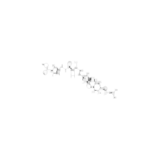 COC(=O)c1cnn(CCC(=O)N[C@@H](C)/C=C/c2cnc(Oc3ccc(OCC4CC4)cc3Cl)s2)c1